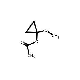 COC1(OC(C)=O)CC1